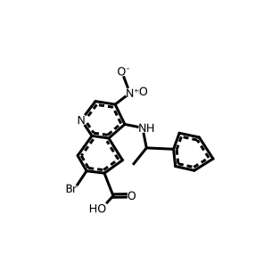 CC(Nc1c([N+](=O)[O-])cnc2cc(Br)c(C(=O)O)cc12)c1ccccc1